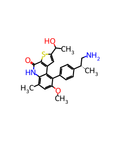 COc1cc(C)c2[nH]c(=O)c3sc(C(C)O)cc3c2c1-c1ccc([C@@H](C)CN)cc1